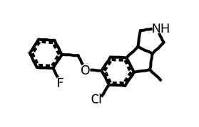 CC1c2cc(Cl)c(OCc3ccccc3F)cc2C2CNCC12